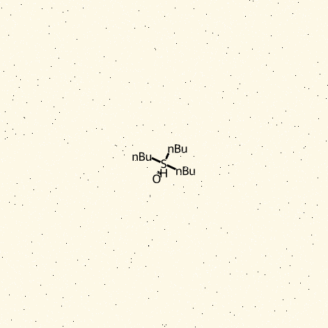 CCCC[SH](=O)(CCCC)CCCC